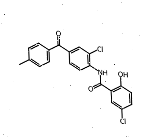 Cc1ccc(C(=O)c2ccc(NC(=O)c3cc(Cl)ccc3O)c(Cl)c2)cc1